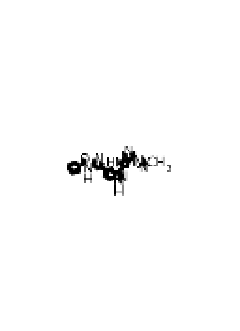 Cc1cn(-c2cncc3[nH]c(-c4n[nH]c5ccc(-c6cncc(NC(=O)c7ccccc7)c6)cc45)cc23)cn1